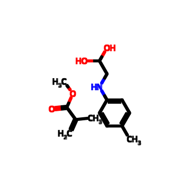 C=C(C)C(=O)OC.Cc1ccc(NCC(O)O)cc1